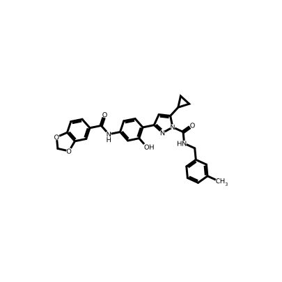 Cc1cccc(CNC(=O)n2nc(-c3ccc(NC(=O)c4ccc5c(c4)OCO5)cc3O)cc2C2CC2)c1